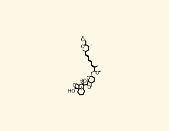 COCC(=O)[C@H](C)C[C@H](C)C=CC=CC=C(C)[C@H](C[C@@H]1CC[C@@H](C)[C@](O)(C(=O)C(=O)N2CCCCC2(C(=O)O)C(C)C)O1)OC